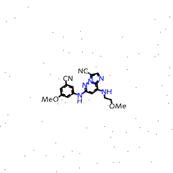 COCCNc1cc(Nc2cc(C#N)cc(OC)c2)nn2c(C#N)cnc12